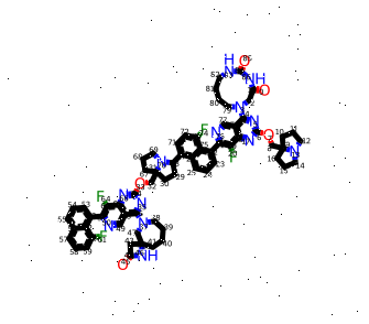 O=C1CN(c2nc(OCC34CCCN3CCC4)nc3c(F)c(-c4cccc5c(C6CCC7(COc8nc(N9CCCCC%10(CC(=O)N%10)C9)c9cnc(-c%10cccc%11cccc(F)c%10%11)c(F)c9n8)CCCN67)ccc(F)c45)ncc23)CCCCNC(=O)N1